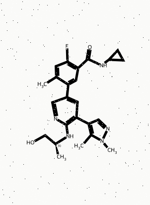 Cc1cc(F)c(C(=O)NC2CC2)cc1-c1cnc(N[C@@H](C)CO)c(-c2cnn(C)c2C)c1